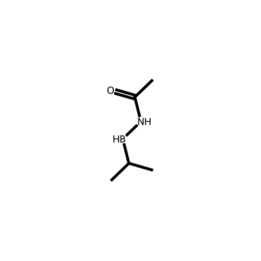 CC(=O)NBC(C)C